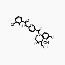 O=C(Nc1ccc(C(=O)N2CCC(F)(F)[C@@](O)(CO)c3cc(Cl)ccc32)cn1)c1cccc(Cl)c1Cl